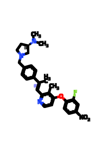 C/C(=C\c1nccc(Oc2ccc([N+](=O)[O-])cc2F)c1C)c1ccc(CN2CC[C@H](N(C)C)C2)cc1